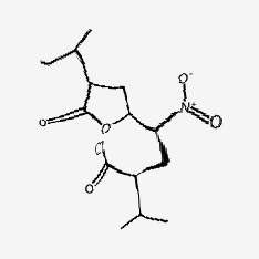 CC(C)C1CC([C@H](C[C@H](C(=O)Cl)C(C)C)[N+](=O)[O-])OC1=O